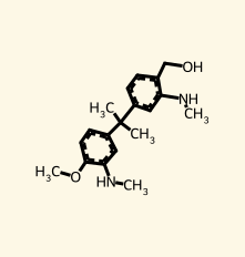 CNc1cc(C(C)(C)c2ccc(OC)c(NC)c2)ccc1CO